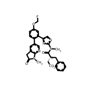 CN(C(=O)[C@@H](CC(=O)O)Cc1ccccc1)c1nc(-c2cc(OCF)ccc2-c2cnc3c(c2)CC(=O)N3C)cs1